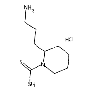 Cl.NCCCC1CCCCN1C(=S)S